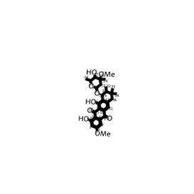 COc1cc(O)c2c(c1)C(=O)c1cc3c(c(O)c1C2=O)[C@@H](OC1CC(C)(OC)C(O)C(C)O1)C(C)C(C)(C)C3